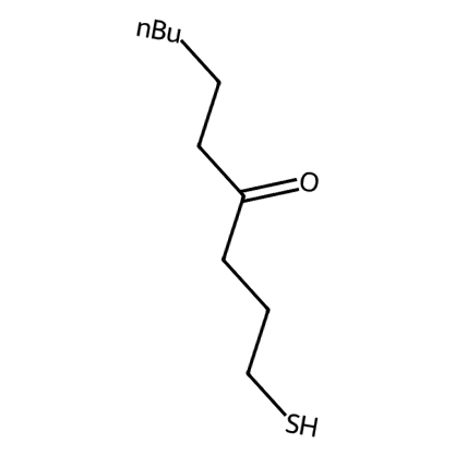 CCCCCCC(=O)CCCS